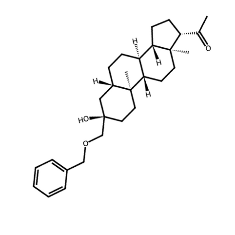 CC(=O)[C@H]1CC[C@H]2[C@@H]3CC[C@H]4C[C@@](O)(COCc5ccccc5)CC[C@]4(C)[C@H]3CC[C@]12C